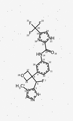 Cn1cnnc1C(F)C1(c2cccc(NC(=O)c3nc(C(F)(F)F)c[nH]3)c2)COC1